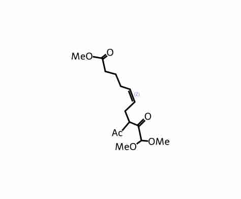 COC(=O)CCC/C=C\CC(C(C)=O)C(=O)C(OC)OC